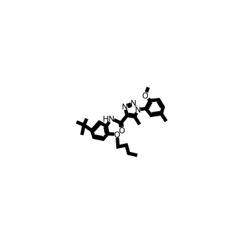 CCCCOc1ccc(C(C)(C)C)cc1NC(=O)c1nnn(-c2cc(C)ccc2OC)c1C